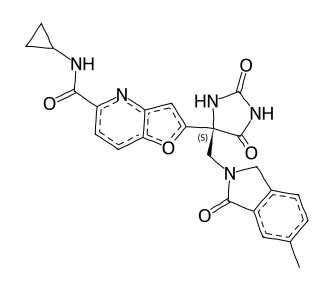 Cc1ccc2c(c1)C(=O)N(C[C@@]1(c3cc4nc(C(=O)NC5CC5)ccc4o3)NC(=O)NC1=O)C2